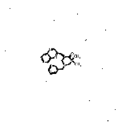 CC1(C)CN(Cc2ccccc2)CC(=Cc2cnc3ccccc3n2)C1=O